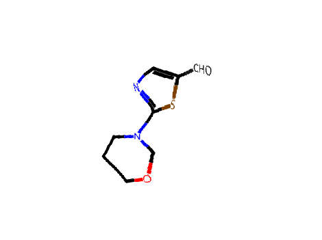 O=Cc1cnc(N2CCCOC2)s1